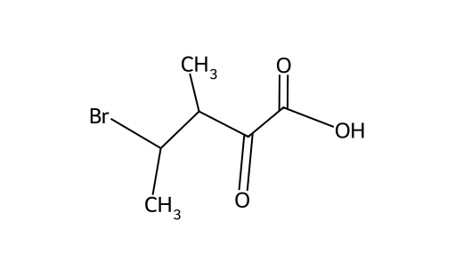 CC(Br)C(C)C(=O)C(=O)O